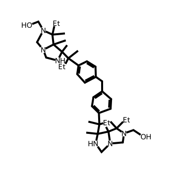 CCC(C)(c1ccc(Cc2ccc(C(C)(CC)C3(C)NCN4CN(CO)C(C)(CC)C43C)cc2)cc1)C1(C)NCN2CN(CO)C(C)(CC)C21C